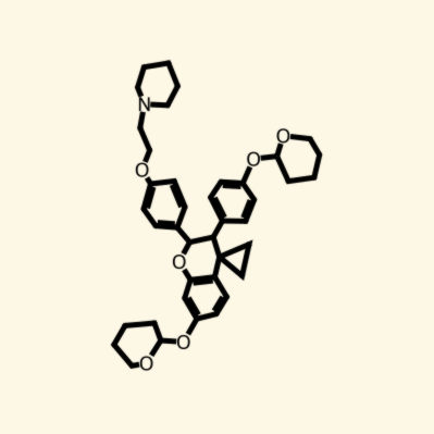 c1cc(C2Oc3cc(OC4CCCCO4)ccc3C3(CC3)C2c2ccc(OC3CCCCO3)cc2)ccc1OCCN1CCCCC1